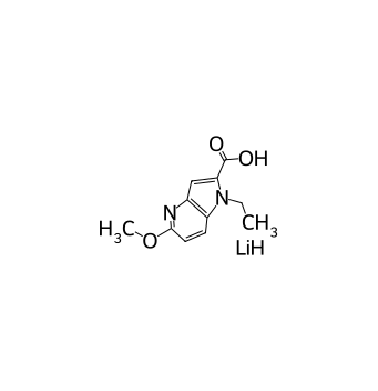 CCn1c(C(=O)O)cc2nc(OC)ccc21.[LiH]